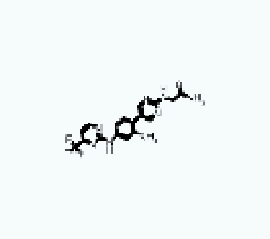 Cc1cc(Nc2nccc(C(F)(F)F)n2)ccc1-c1cnc(NCC(N)=O)nc1